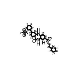 CS(=O)(=O)Nc1ccccc1-c1ccc2c(c1)Nc1ccc(C(=O)NCCc3ccccn3)cc1NC2=O